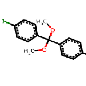 COC(OC)(c1ccc(Cl)cc1)c1ccc(Cl)cc1